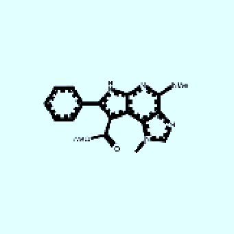 CNc1nc2[nH]c(-c3ccccc3)c(C(=O)OC)c2c2c1ncn2C